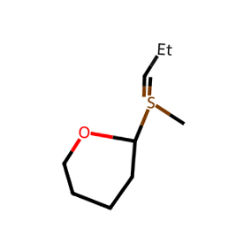 CCC=S(C)C1CCCCO1